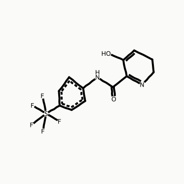 O=C(Nc1ccc(S(F)(F)(F)(F)F)cc1)C1=NCCC=C1O